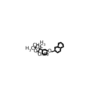 CO[C@H]1OC(C)(C)O[C@@]1(C)c1cccc(OCc2ccc3ccccc3c2)c1